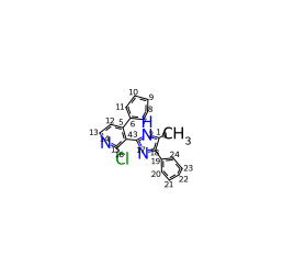 Cc1[nH]c(-c2c(-c3ccccc3)ccnc2Cl)nc1-c1ccccc1